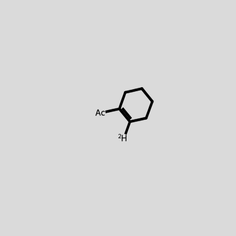 [2H]C1=C(C(C)=O)CCCC1